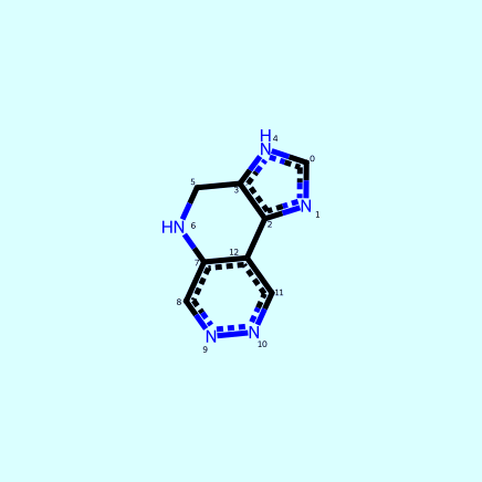 c1nc2c([nH]1)CNc1cnncc1-2